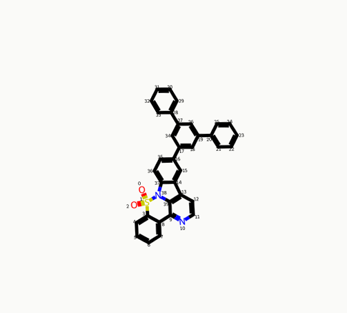 O=S1(=O)c2ccccc2-c2nccc3c4cc(-c5cc(-c6ccccc6)cc(-c6ccccc6)c5)ccc4n1c23